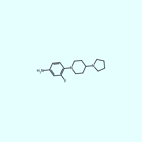 Nc1ccc(N2CCC(N3CCCC3)CC2)c(F)c1